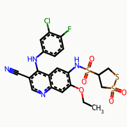 CCOc1cc2ncc(C#N)c(Nc3ccc(F)c(Cl)c3)c2cc1NS(=O)(=O)C1CSS(=O)(=O)C1